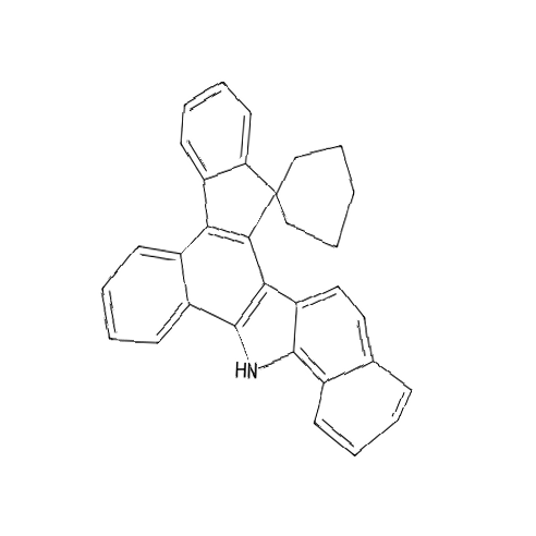 c1ccc2c(c1)-c1c(c3c4ccc5ccccc5c4[nH]c3c3ccccc13)C21CCCCC1